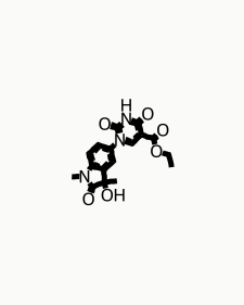 CCOC(=O)c1cn(-c2ccc3c(c2)C(C)(O)C(=O)N3C)c(=O)[nH]c1=O